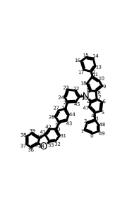 c1ccc(-c2ccc3c4ccc(-c5ccccc5)cc4n(-c4cccc(-c5ccc(-c6ccc7oc8ccccc8c7c6)cc5)c4)c3c2)cc1